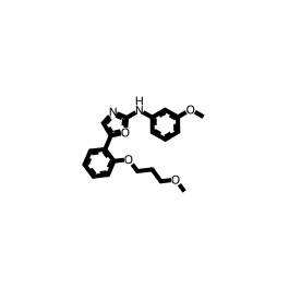 COCCCOc1ccccc1-c1cnc(Nc2cccc(OC)c2)o1